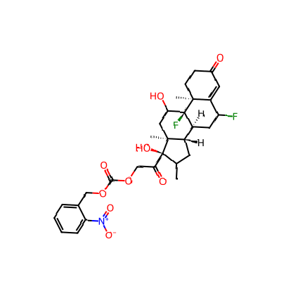 CC1C[C@H]2[C@@H]3CC(F)C4=CC(=O)CC[C@]4(C)[C@@]3(F)C(O)C[C@]2(C)[C@@]1(O)C(=O)COC(=O)OCc1ccccc1[N+](=O)[O-]